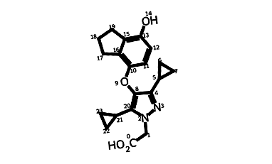 O=C(O)Cn1nc(C2CC2)c(Oc2ccc(O)c3c2CCC3)c1C1CC1